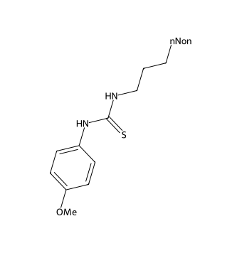 CCCCCCCCCCCCNC(=S)Nc1ccc(OC)cc1